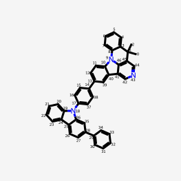 CC1(C)c2ccccc2-n2c3ccc(-c4ccc(-n5c6ccccc6c6ccc(-c7ccccc7)cc65)cc4)cc3c3cncc1c32